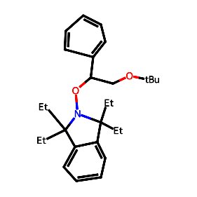 CCC1(CC)c2ccccc2C(CC)(CC)N1OC(COC(C)(C)C)c1ccccc1